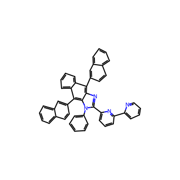 c1ccc(-n2c(-c3cccc(-c4ccccn4)n3)nc3c(-c4ccc5ccccc5c4)c4ccccc4c(-c4ccc5ccccc5c4)c32)cc1